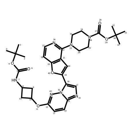 CC(C)(C)OC(=O)NC1CC(Oc2ccc3ncc(-c4cc5c(N6CCN(C(=O)OC(C)(C)C)CC6)nccc5o4)n3n2)C1